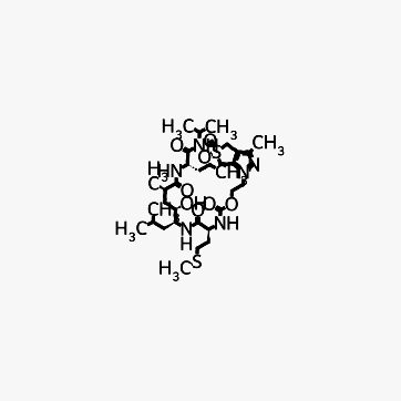 CCC[C@H](NC(=O)[C@H](C)C[C@H](O)[C@H](CC(C)C)NC(=O)[C@H](CCSC)NC(=O)OCCn1nc(C)c2c1CS(=O)(=O)C2)C(=O)NC(C)C